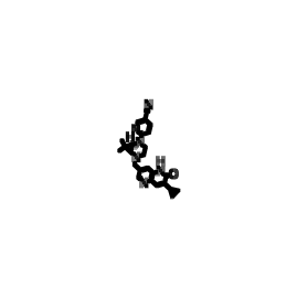 CC1(C)C2[C@@H]1N(c1ccc(C#N)cn1)CCN2Cc1cnc2cc(C3CC3)c(=O)[nH]c2c1